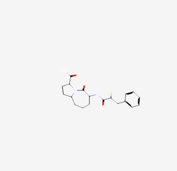 O=C(NC1CCCC2CCC(C(=O)O)N2C1=O)C(S)Cc1ccccc1